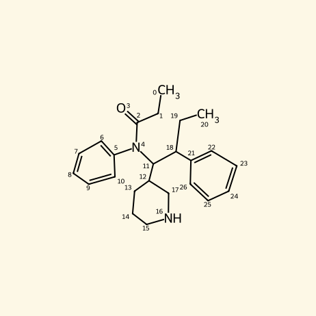 CCC(=O)N(c1ccccc1)C(C1CCCNC1)C(CC)c1ccccc1